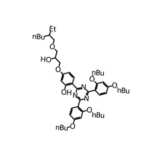 CCCCOc1ccc(-c2nc(-c3ccc(OCC(O)COCC(CC)CCCC)cc3O)nc(-c3ccc(OCCCC)cc3OCCCC)n2)c(OCCCC)c1